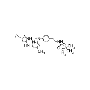 Cc1cc(Nc2cc(C3CC3)n[nH]2)nc(Nc2ccc(CCNC(=O)OC(C)(C)C)cc2)n1